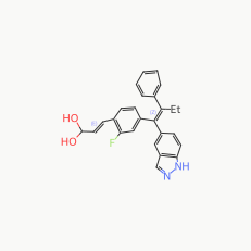 CC/C(=C(/c1ccc(/C=C/C(O)O)c(F)c1)c1ccc2[nH]ncc2c1)c1ccccc1